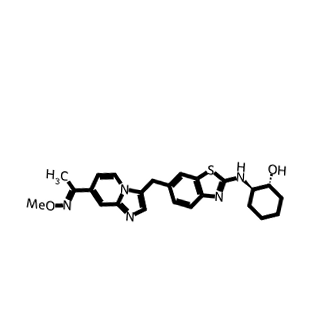 CON=C(C)c1ccn2c(Cc3ccc4nc(N[C@@H]5CCCC[C@H]5O)sc4c3)cnc2c1